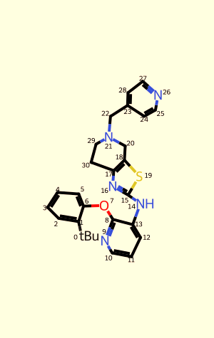 CC(C)(C)c1ccccc1Oc1ncccc1Nc1nc2c(s1)CN(Cc1ccncc1)CC2